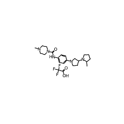 CC1CCCN1C1CCN(c2ccc(NC(=O)N3CCN(C)CC3)cc2)C1.O=C(O)C(F)(F)F